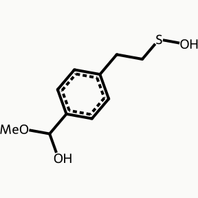 COC(O)c1ccc(CCSO)cc1